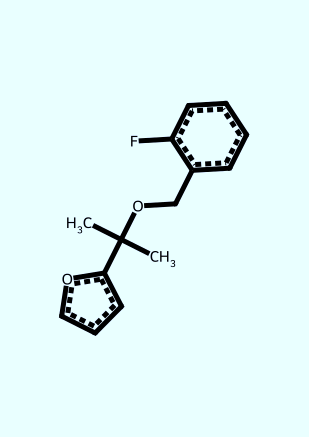 CC(C)(OCc1ccccc1F)c1ccco1